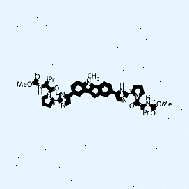 COC(=O)NC(C(=O)N1CCC[C@H]1c1ncc(-c2ccc3c(c2)Cc2c-3n(C)c3ccc(-c4cnc([C@@H]5CCCN5C(=O)C(NC(=O)OC)C(C)C)[nH]4)cc23)[nH]1)C(C)C